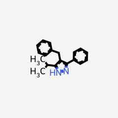 CC(C)c1[nH]nc(-c2ccccc2)c1Cc1ccccc1